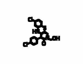 O=c1c(-c2ccc(Cl)cc2)c2c(cn1CO)Sc1ccc(Cl)cc1N2